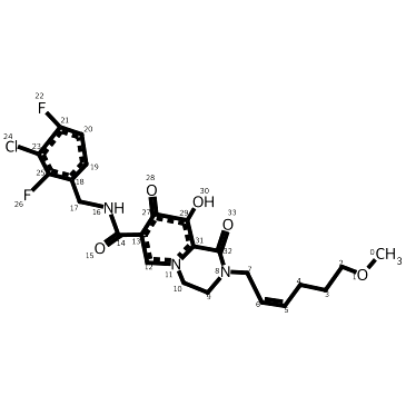 COCCC/C=C\CN1CCn2cc(C(=O)NCc3ccc(F)c(Cl)c3F)c(=O)c(O)c2C1=O